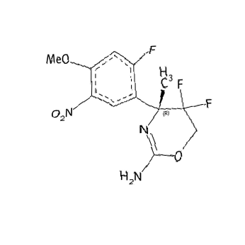 COc1cc(F)c([C@@]2(C)N=C(N)OCC2(F)F)cc1[N+](=O)[O-]